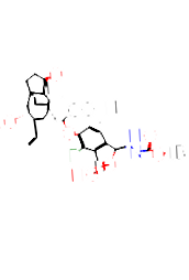 C=C[C@]1(C)C[C@@H](C(Oc2ccc3c(c2F)B(O)OC3CNC(=O)OC(C)(C)C)C(=O)O)[C@@]2(C)[C@H](C)CC[C@]3(CCC(=O)[C@H]32)[C@@H](C)[C@@H]1O